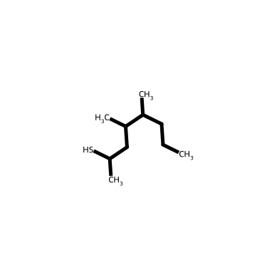 CCCC(C)C(C)CC(C)S